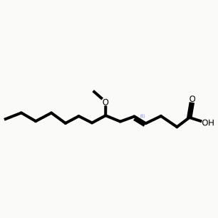 CCCCCCCC(C/C=C/CCC(=O)O)OC